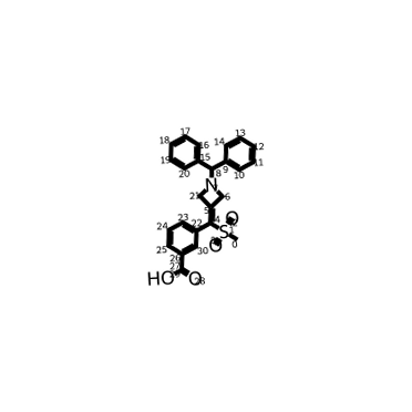 CS(=O)(=O)C(=C1CN(C(c2ccccc2)c2ccccc2)C1)c1cccc(C(=O)O)c1